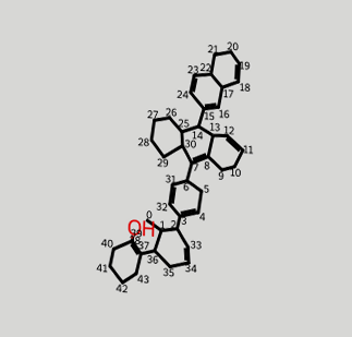 CC1C(C2=CCC(C3=C4CCC=CC4C(C4=CC5C=CCCC5C=C4)C4CCCCC34)C=C2)C=CCC1C1=C(O)CCCC1